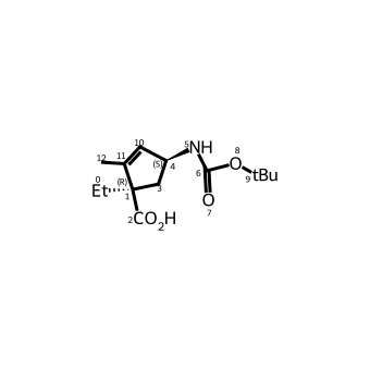 CC[C@@]1(C(=O)O)C[C@H](NC(=O)OC(C)(C)C)C=C1C